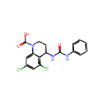 O=C(Nc1ccccc1)NC1CCN(C(=O)O)c2cc(Cl)cc(Cl)c21